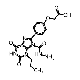 CCCn1c(=O)[nH]c(=O)c2nc(-c3ccc(OCC(=O)O)cc3)n(C(=O)NN)c21